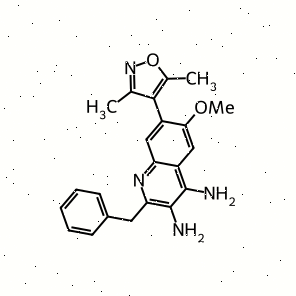 COc1cc2c(N)c(N)c(Cc3ccccc3)nc2cc1-c1c(C)noc1C